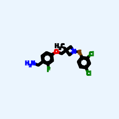 CC1(COc2ccc(CN)c(F)c2)CN(Sc2ccc(Cl)cc2Cl)C1